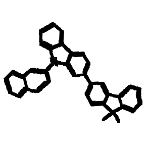 CC1(C)c2ccccc2-c2cc(-c3ccc4c5ccccc5n(-c5ccc6ccccc6c5)c4c3)ccc21